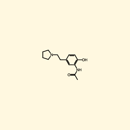 CC(=O)Nc1cc(CCN2CCCC2)ccc1O